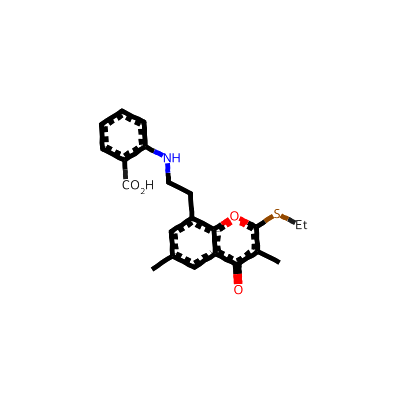 CCSc1oc2c(CCNc3ccccc3C(=O)O)cc(C)cc2c(=O)c1C